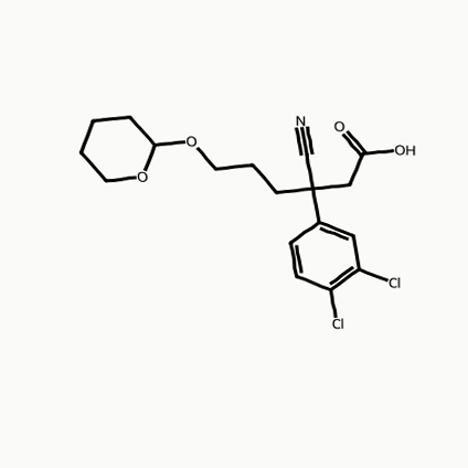 N#CC(CCCOC1CCCCO1)(CC(=O)O)c1ccc(Cl)c(Cl)c1